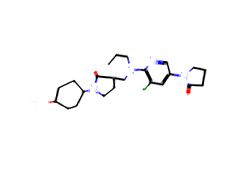 O=C1CCCN1c1cnc(N2CCC[C@@]3(CCN(C4CCC(O)CC4)C3=O)C2)c(Cl)c1